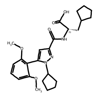 COc1cccc(OC)c1-c1cc(C(=O)N[C@@H](CC2CCCC2)C(=O)O)nn1C1CCCC1